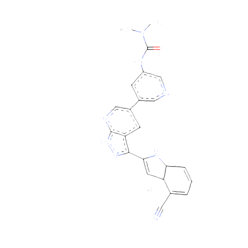 CN(C)C(=O)Nc1cncc(-c2cnc3[nH]nc(C4=C[C@@H]5C(C#N)=CC=CC5N4)c3c2)c1